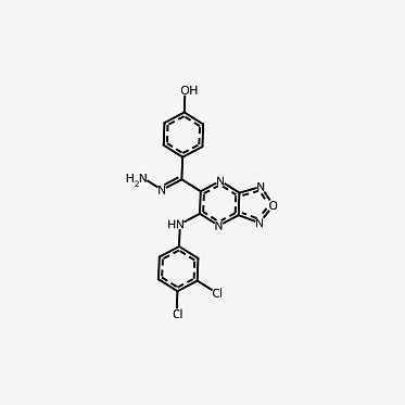 NN=C(c1ccc(O)cc1)c1nc2nonc2nc1Nc1ccc(Cl)c(Cl)c1